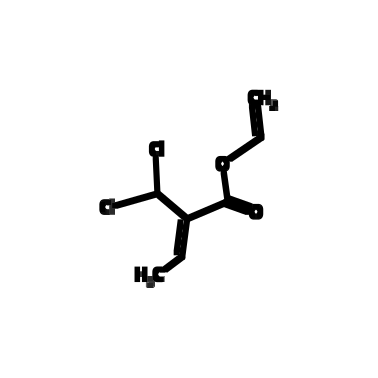 C=COC(=O)C(=CC)C(Cl)Cl